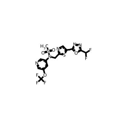 CS(=O)(=O)N(Cc1ncc(-c2nnc(C(F)F)o2)s1)c1cncc(OC(F)(F)F)c1